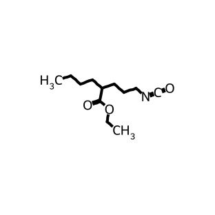 CCCCC(CCCN=C=O)C(=O)OCC